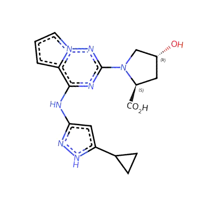 O=C(O)[C@@H]1C[C@@H](O)CN1c1nc(Nc2cc(C3CC3)[nH]n2)c2cccn2n1